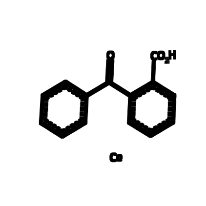 O=C(O)c1ccccc1C(=O)c1ccccc1.[Ce]